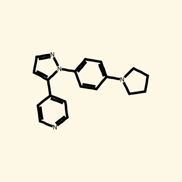 c1cc(-c2ccnn2-c2ccc(N3CCCC3)cc2)ccn1